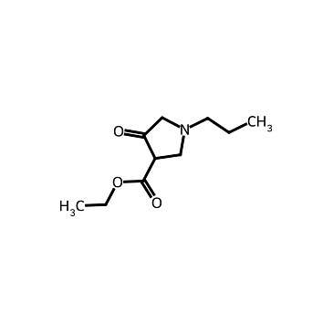 CCCN1CC(=O)C(C(=O)OCC)C1